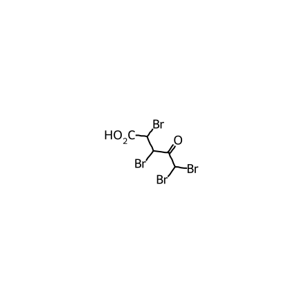 O=C(O)C(Br)C(Br)C(=O)C(Br)Br